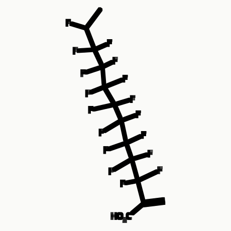 C=C(C(=O)O)C(F)(F)C(F)(F)C(F)(F)C(F)(F)C(F)(F)C(F)(F)C(F)(F)C(F)(F)C(C)F